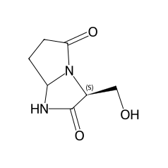 O=C1NC2CCC(=O)N2[C@H]1CO